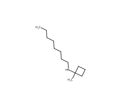 CCCCCCCCNC1(C)CCC1